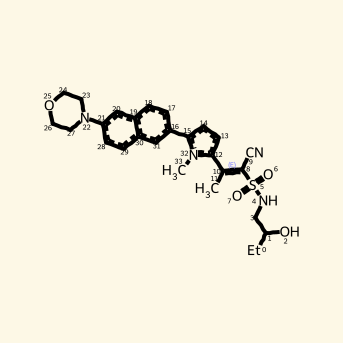 CCC(O)CNS(=O)(=O)/C(C#N)=C(\C)c1ccc(-c2ccc3cc(N4CCOCC4)ccc3c2)n1C